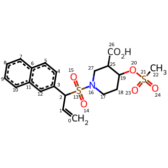 C=CC(c1ccc2ccccc2c1)S(=O)(=O)N1CCC(OS(C)(=O)=O)C(C(=O)O)C1